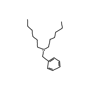 CCCCCCN(CCCCCC)Cc1ccccc1